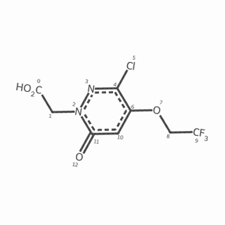 O=C(O)Cn1nc(Cl)c(OCC(F)(F)F)cc1=O